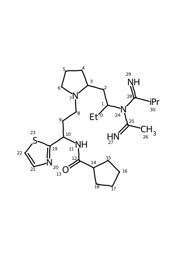 CCC(CC1CCCN1CCC(NC(=O)C1CCCC1)c1nccs1)N(C(C)=N)C(=N)C(C)C